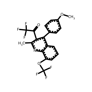 COc1ccc(-c2c(C(=O)C(F)(F)F)c(C)nc3c(OC(F)(F)F)cccc23)cc1